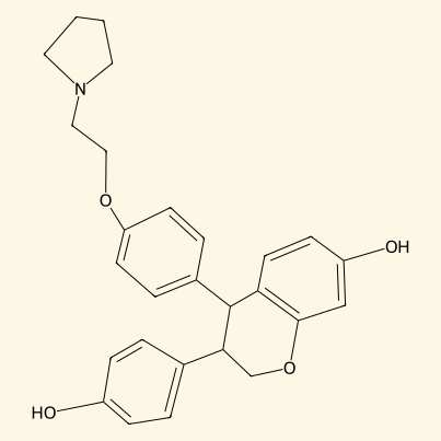 Oc1ccc(C2COc3cc(O)ccc3C2c2ccc(OCCN3CCCC3)cc2)cc1